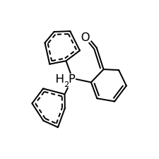 O=C=C1CC=CC=C1[PH2](c1ccccc1)c1ccccc1